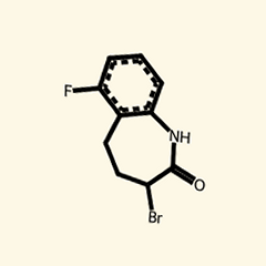 O=C1Nc2cccc(F)c2CCC1Br